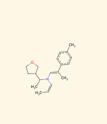 C/C=C\N(/C=C(\C)c1ccc(C)cc1)C(C)C1CCOC1